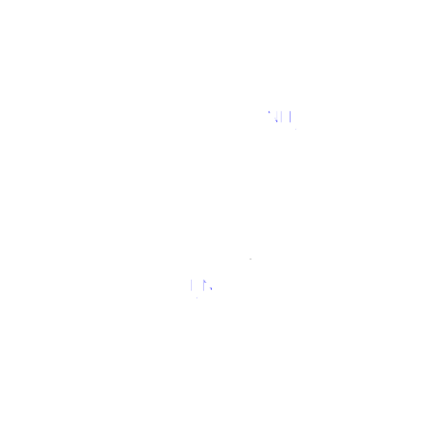 CC(C)C1=C(N)C=CC(N)(C(C)C)C1